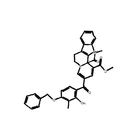 COC(=O)C1=CC(C(=O)c2ccc(OCc3ccccc3)c(C)c2O)=CN2CCc3c([nH]c4ccccc34)C12C(=O)OC